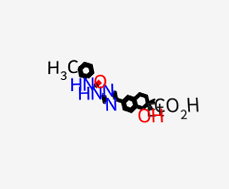 CCC1(CC(=O)O)CCc2cc(-c3cnc(NC(=O)Nc4cccc(C)c4)cn3)ccc2C1O